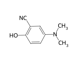 CN(C)c1ccc(O)c(C#N)c1